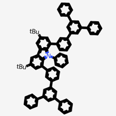 CC(C)(C)c1cc(-c2cccc(-c3cc(-c4ccccc4)cc(-c4ccccc4)c3)c2)c2c(c1)c1cc(C(C)(C)C)cc(-c3cccc(-c4cc(-c5ccccc5)cc(-c5ccccc5)c4)c3)c1n2-c1ccccc1